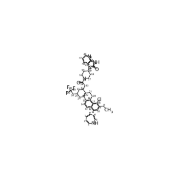 C1=CC=CNC=C1.CCc1ccc2ccc3c(c2c1Cl)CCC1=C3CC(CC(F)(F)F)CC1CC(=O)N1CCC(n2c(=O)[nH]c3ncccc32)CC1